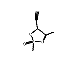 C#CC1OP(C)(=O)OC1C